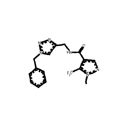 Cn1ncc(C(=O)NCc2cn(Cc3ccccc3)nn2)c1C(F)(F)F